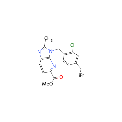 COC(=O)c1ccc2nc(C)n(Cc3ccc(CC(C)C)cc3Cl)c2n1